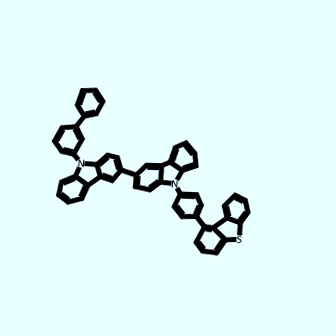 c1ccc(-c2cccc(-n3c4ccccc4c4cc(-c5ccc6c(c5)c5ccccc5n6-c5ccc(-c6cccc7sc8ccccc8c67)cc5)ccc43)c2)cc1